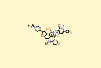 CCc1c(N(CC)C2CCOCC2)cc2oc(C3CCN(C)CC3)cc2c1C(O)NCc1c(OC)cc(C)[nH]c1=O